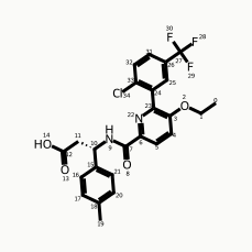 CCOc1ccc(C(=O)N[C@@H](CC(=O)O)c2ccc(C)cc2)nc1-c1cc(C(F)(F)F)ccc1Cl